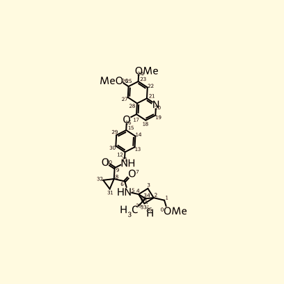 COCC12CC(NC(=O)C3(C(=O)Nc4ccc(Oc5ccnc6cc(OC)c(OC)cc56)cc4)CC3)(C1)[C@@H]2C